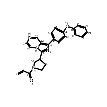 C=CC(=O)N1CCC(c2nc(-c3ccc(Oc4ccccc4)cc3)c3cnccn23)C1